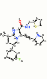 O=C(NCc1cccs1)c1nc2c(C(F)(F)F)cc(-c3cccc(F)c3)cn2c1C#Cc1ccccn1